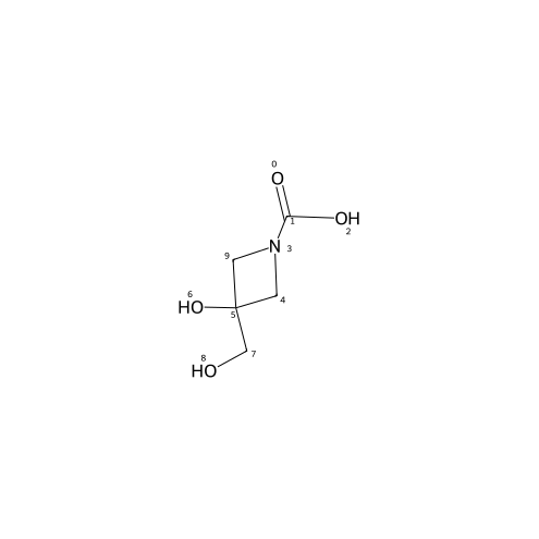 O=C(O)N1CC(O)(CO)C1